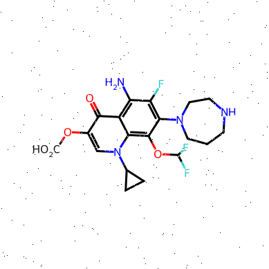 Nc1c(F)c(N2CCCNCC2)c(OC(F)F)c2c1c(=O)c(OC(=O)O)cn2C1CC1